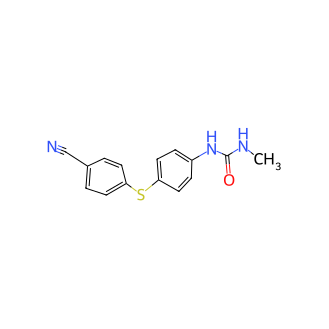 CNC(=O)Nc1ccc(Sc2ccc(C#N)cc2)cc1